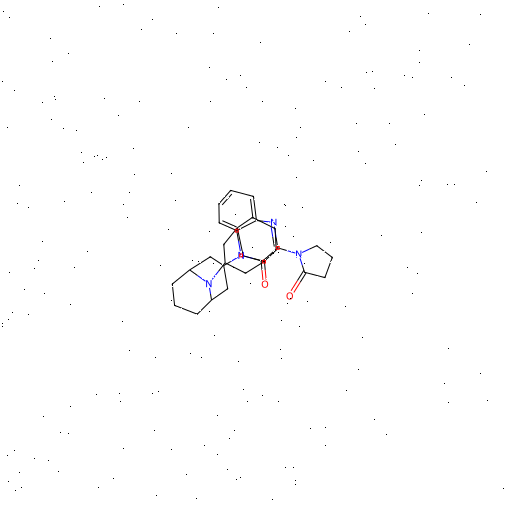 O=C1CCCN1c1nc2ccccc2n(C2CC3CCCC(C2)N3C2CC3CCCC(C3)C2)c1=O